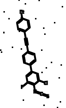 CCc1ccc(C#Cc2ccc(-c3cc(F)c(N=C=S)c(Cl)c3)cc2)cc1